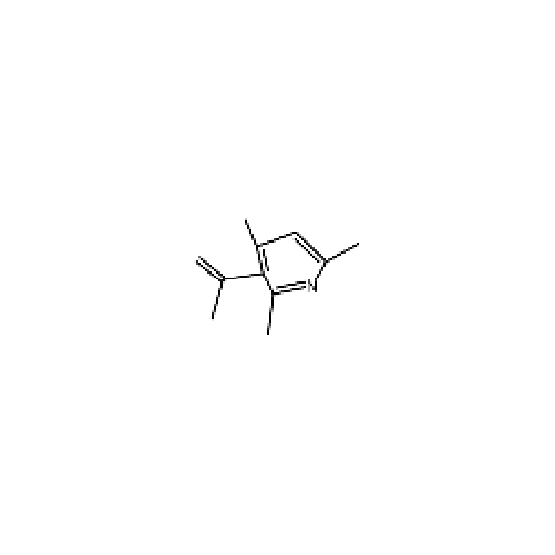 C=C(C)c1c(C)cc(C)nc1C